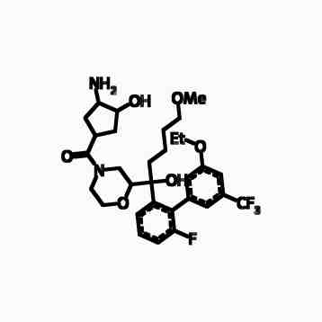 CCOc1cc(-c2c(F)cccc2C(O)(CCCCOC)C2CN(C(=O)C3CC(N)C(O)C3)CCO2)cc(C(F)(F)F)c1